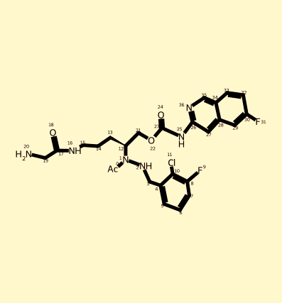 CC(=O)N(NCc1cccc(F)c1Cl)[C@@H](CCCNC(=O)CN)COC(=O)Nc1cc2cc(F)ccc2cn1